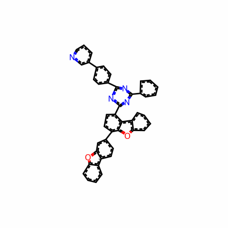 c1ccc(-c2nc(-c3ccc(-c4cccnc4)cc3)nc(-c3ccc(-c4ccc5c(c4)oc4ccccc45)c4oc5ccccc5c34)n2)cc1